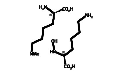 CNCCCC[C@H](N)C(=O)O.NCCCC[C@H](NO)C(=O)O